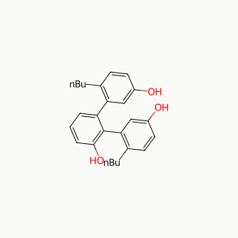 CCCCc1ccc(O)cc1-c1cccc(O)c1-c1cc(O)ccc1CCCC